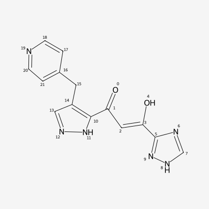 O=C(C=C(O)c1nc[nH]n1)c1[nH]ncc1Cc1ccncc1